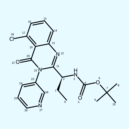 CC[C@H](NC(=O)OC(C)(C)C)c1nc2cccc(Cl)c2c(=O)n1-c1cccnc1